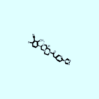 Cc1c([C@@H]2CN3CCN(C(=O)Cc4ccc(-n5cnnc5)nc4)C[C@@H]3CO2)ccc(F)c1C#N